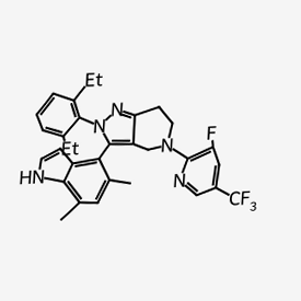 CCc1cccc(CC)c1-n1nc2c(c1-c1c(C)cc(C)c3[nH]ccc13)CN(c1ncc(C(F)(F)F)cc1F)CC2